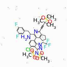 CC(C)(C#Cc1nc(C(N)Cc2cc(F)cc(F)c2)c(-c2ccc(Cl)c3c(N(S(C)(=O)=O)S(C)(=O)=O)nn(CC(F)(F)F)c23)c2c1CCC2)S(C)(=O)=O